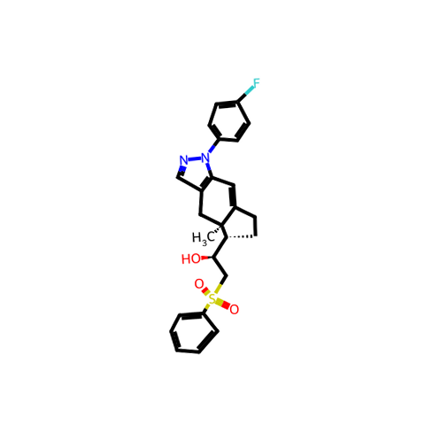 C[C@]12Cc3cnn(-c4ccc(F)cc4)c3C=C1CC[C@@H]2[C@H](O)CS(=O)(=O)c1ccccc1